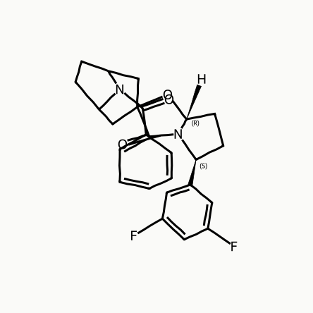 O=C(c1ccccc1)N1C2CCC1CC1(C2)O[C@@H]2CC[C@@H](c3cc(F)cc(F)c3)N2C1=O